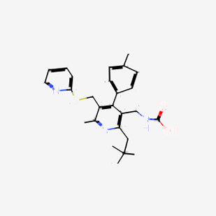 Cc1ccc(-c2c(CSc3ccccn3)c(C)nc(CC(C)(C)C)c2CNC(=O)O)cc1